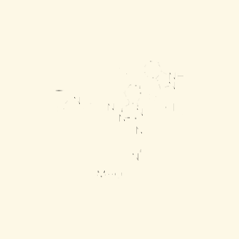 C=CC(=O)N1CC2(CCN(c3nc(N4CC[C@@H](N5CC[C@@H](OC)C5)C4)nc4c(OCC(F)(F)F)c(-c5c(C)ccc6[nH]ncc56)c(C5CC5)cc34)CC2)C1